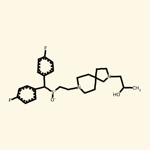 CC(O)CN1CCC2(CCN(CC[S+]([O-])C(c3ccc(F)cc3)c3ccc(F)cc3)CC2)C1